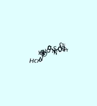 CC(C)Oc1ccc(-c2nnc(-c3cccc4c3CC[C@@H]4NS(=O)(=O)CCN3CC[C@@H](O)C3)s2)cc1C#N